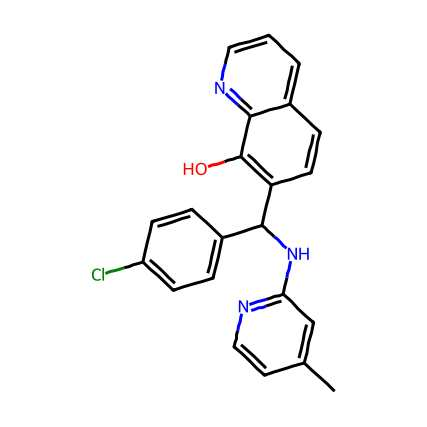 Cc1ccnc(NC(c2ccc(Cl)cc2)c2ccc3cccnc3c2O)c1